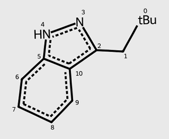 CC(C)(C)Cc1n[nH]c2ccccc12